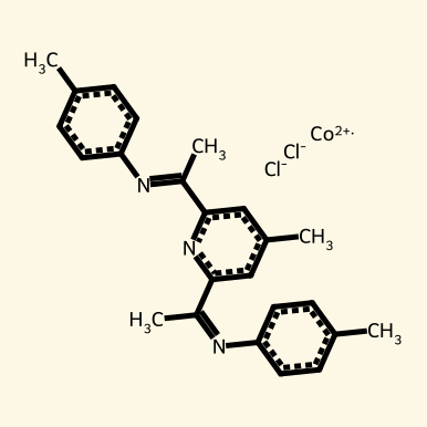 CC(=Nc1ccc(C)cc1)c1cc(C)cc(C(C)=Nc2ccc(C)cc2)n1.[Cl-].[Cl-].[Co+2]